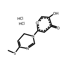 CSC1=CCN(c2cc(=O)c(O)co2)C=N1.Cl.Cl